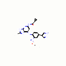 Cc1nc2c(Nc3ccc(-c4cnn(C)c4)cc3N(C)S(C)(=O)=O)cc(NC(=O)C3C[C@@H]3F)nc2[nH]1